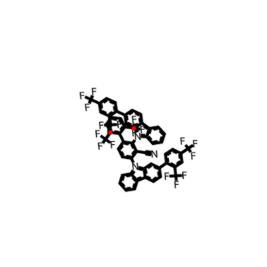 N#Cc1c(-n2c3ccccc3c3ccc(-c4ccc(C(F)(F)F)cc4C(F)(F)F)cc32)ccc(-c2c(C(F)(F)F)cccc2C(F)(F)F)c1-n1c2ccccc2c2ccc(-c3ccc(C(F)(F)F)cc3C(F)(F)F)cc21